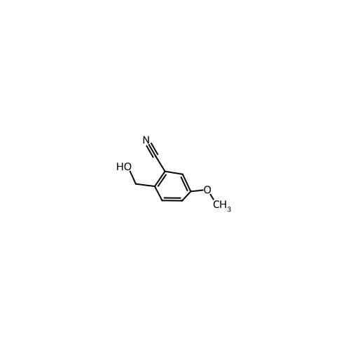 COc1ccc(CO)c(C#N)c1